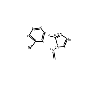 Brc1ccccc1.C=Nn1cnnc1C